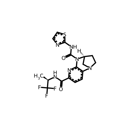 C[C@@H](NC(=O)c1ccc2c(n1)N(C(=O)Nc1nccs1)[C@H]1CCN2C1)C(F)(F)F